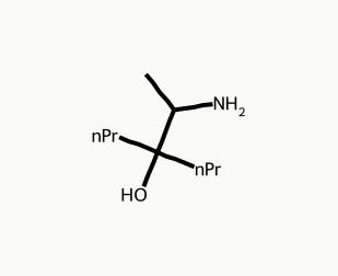 CCCC(O)(CCC)C(C)N